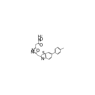 CONC(=O)Cc1nnc(Cc2nc3ccc(-c4ccc(C)cc4)cc3s2)o1